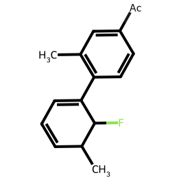 CC(=O)c1ccc(C2=CC=CC(C)C2F)c(C)c1